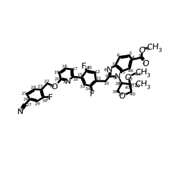 COC(=O)c1ccc2nc(Cc3cc(F)c(-c4cccc(OCc5ccc(C#N)cc5F)n4)cc3F)n([C@@H]3COC[C@]3(C)OC)c2c1